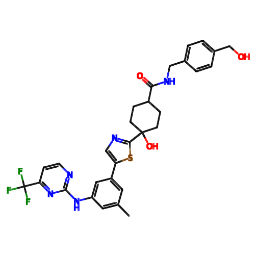 Cc1cc(Nc2nccc(C(F)(F)F)n2)cc(-c2cnc(C3(O)CCC(C(=O)NCc4ccc(CO)cc4)CC3)s2)c1